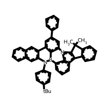 CC(C)(C)c1ccc(N2B3c4c(cc(-c5ccccc5)cc4-n4c5c(c6cccc3c64)-c3ccccc3C5(C)C)-c3cc4ccccc4cc32)cc1